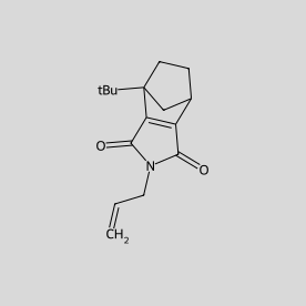 C=CCN1C(=O)C2=C(C1=O)C1(C(C)(C)C)CCC2C1